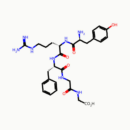 N=C(N)NCCC[C@H](NC(=O)[C@@H](N)Cc1ccc(O)cc1)C(=O)N[C@@H](Cc1ccccc1)C(=O)NCC(=O)NCC(=O)O